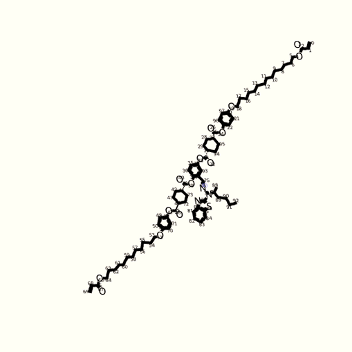 C=CC(=O)OCCCCCCCCCCCCCCOc1ccc(OC(=O)[C@H]2CC[C@@H](C(=O)Oc3ccc(OC(=O)[C@H]4CC[C@H](C(=O)Oc5ccc(OCCCCCCCCCCCCOC(=O)C=C)cc5)CC4)c(/C=N/N(c4nc5ccccc5s4)C(C)CCCC)c3)CC2)cc1